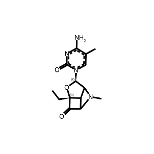 CC[C@@]12O[C@@H](n3cc(C)c(N)nc3=O)C3C1C(C2=O)N3C